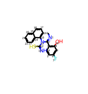 C/N=C(/c1ccc(F)cc1O)N(C(=N)S)c1cccc2ccccc12